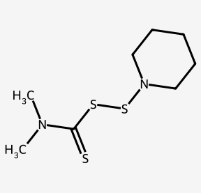 CN(C)C(=S)SSN1CCCCC1